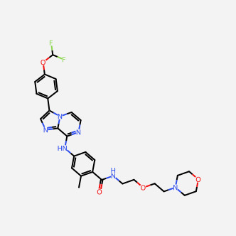 Cc1cc(Nc2nccn3c(-c4ccc(OC(F)F)cc4)cnc23)ccc1C(=O)NCCOCCN1CCOCC1